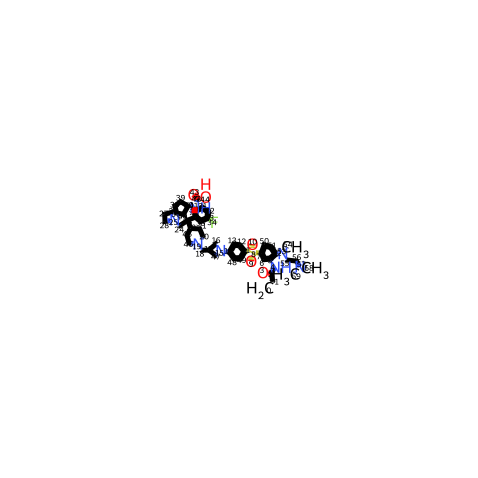 C=CC(=O)Nc1cc(S(=O)(=O)c2ccc(N3CC(CN4CCC(C(CN5CCC5)(c5cccc(F)c5)[C@H]5CCC[C@@H]5NC(=O)O)CC4)C3)cc2)ccc1N(C)CCN(C)C